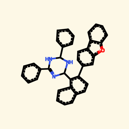 c1ccc(C2=NC(c3c(-c4ccc5c(c4)oc4ccccc45)ccc4ccccc34)NC(c3ccccc3)N2)cc1